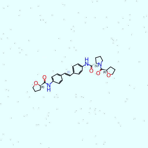 O=C(Nc1ccc(/C=C/c2ccc(NC(=O)[C@@H]3CCCN3C(=O)[C@H]3CCCO3)cc2)cc1)[C@H]1CCCO1